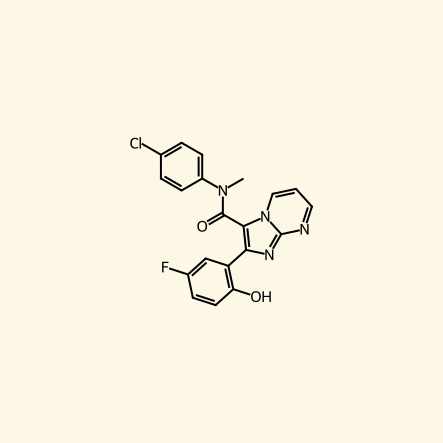 CN(C(=O)c1c(-c2cc(F)ccc2O)nc2ncccn12)c1ccc(Cl)cc1